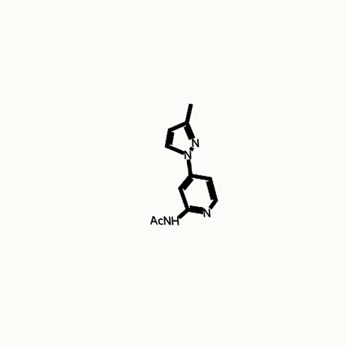 CC(=O)Nc1cc(-n2ccc(C)n2)ccn1